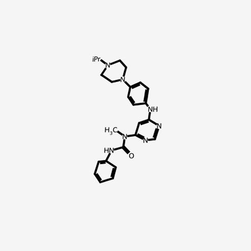 CC(C)N1CCN(c2ccc(Nc3cc(N(C)C(=O)Nc4ccccc4)ncn3)cc2)CC1